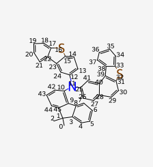 CC1(C)c2ccccc2-c2c(N(c3ccc4sc5ccccc5c4c3)c3ccc4ccc5sc6ccccc6c5c4c3)cccc21